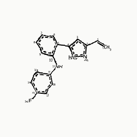 C=Cc1cc(-c2ccccc2Nc2ccc(F)cc2)[nH]n1